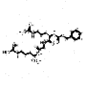 N=C(N)NCCC[C@H](NC(=O)CNC(=O)[C@@H](CCCNC(=N)N)NC(=O)OCc1ccccc1)C(=O)O